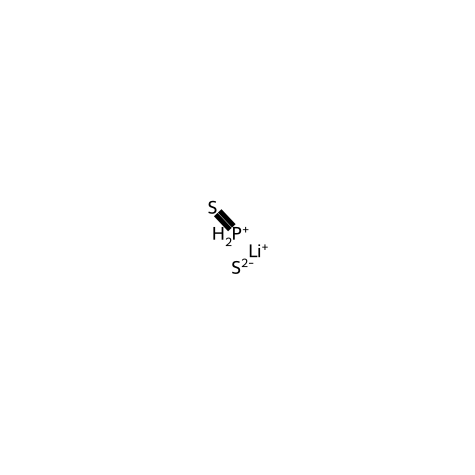 [Li+].[PH2+]=S.[S-2]